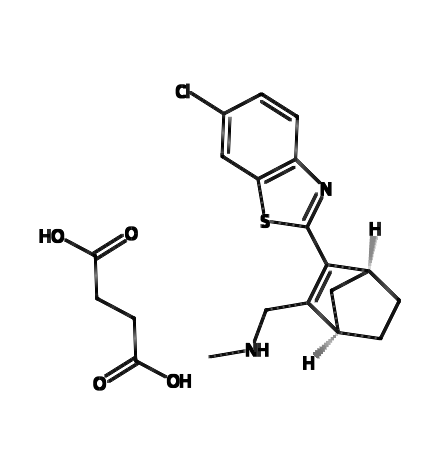 CNCC1=C(c2nc3ccc(Cl)cc3s2)[C@H]2CC[C@@H]1C2.O=C(O)CCC(=O)O